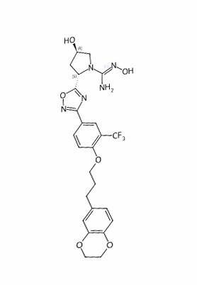 N/C(=N\O)N1C[C@H](O)C[C@H]1c1nc(-c2ccc(OCCCc3ccc4c(c3)OCCO4)c(C(F)(F)F)c2)no1